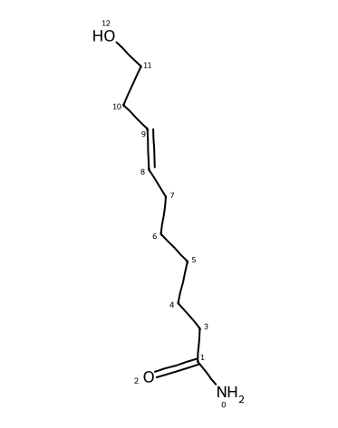 NC(=O)CCCCCC=CCCO